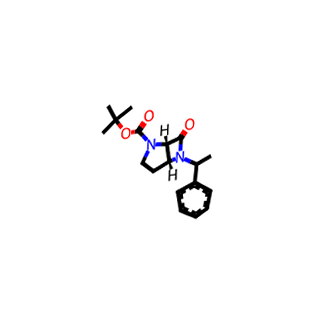 CC(c1ccccc1)N1C(=O)[C@@H]2[C@H]1CCN2C(=O)OC(C)(C)C